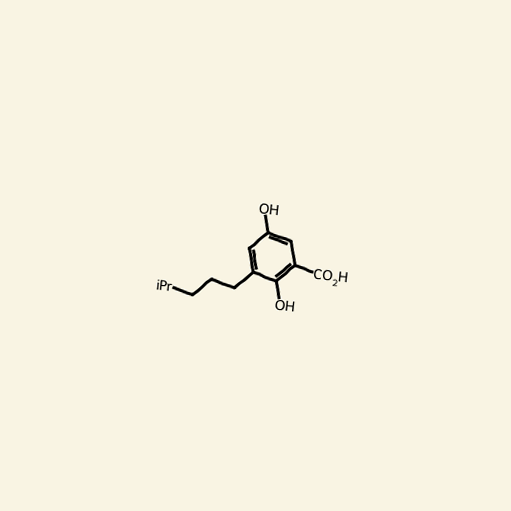 CC(C)CCCc1cc(O)cc(C(=O)O)c1O